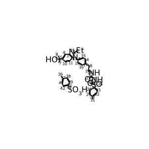 CCc1nc2cc(C(C)(C)O)ccc2n1-c1ccc(CCNC(=O)NS(=O)(=O)c2ccc(C)cc2)cc1.Cc1ccc(S(=O)(=O)O)cc1